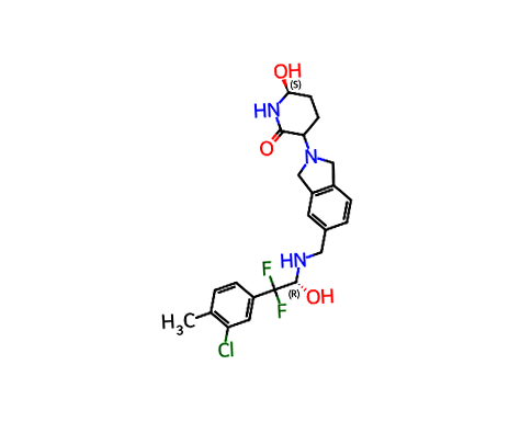 Cc1ccc(C(F)(F)[C@@H](O)NCc2ccc3c(c2)CN(C2CC[C@H](O)NC2=O)C3)cc1Cl